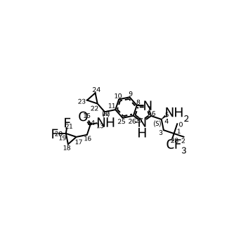 CC(C)(C[C@H](N)c1nc2ccc([C@H](NC(=O)CC3CC3(F)F)C3CC3)cc2[nH]1)C(F)(F)F